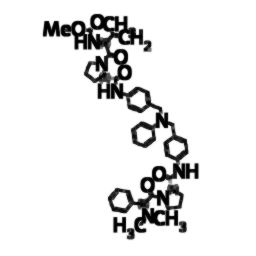 C=C(C)[C@H](NC(=O)OC)C(=O)N1CCC[C@H]1C(=O)Nc1ccc(CN(Cc2ccc(NC(=O)[C@@H]3CCCN3C(=O)[C@@H](c3ccccc3)N(C)C)cc2)c2ccccc2)cc1